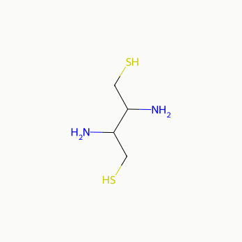 NC(CS)C(N)CS